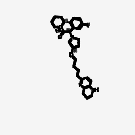 O=C(O)[C@@H](c1cc(F)ccc1[C@H]1CCCCO1)N1CC[C@@H](OCCCCc2ccc3c(n2)CCCN3)C1